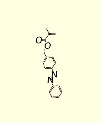 C=C(C)C(=O)OCc1ccc(/N=N/c2ccccc2)cc1